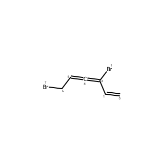 C=CC(Br)=C=CCBr